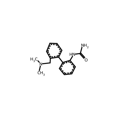 CN(C)Cc1ccccc1-c1ccccc1NC(N)=O